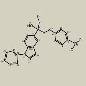 O=[N+]([O-])c1ccc(SCC(O)(CF)c2ccc3c(cnn3-c3ccccc3)c2)cc1